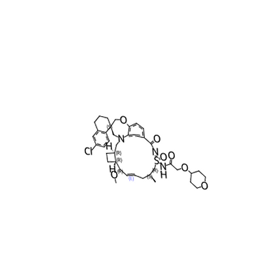 CO[C@H]1/C=C/C[C@H](C)[C@@H](C)S(=O)(NC(=O)COC2CCOCC2)=NC(=O)c2ccc3c(c2)N(C[C@@H]2CC[C@H]21)C[C@@]1(CCCc2cc(Cl)ccc21)CO3